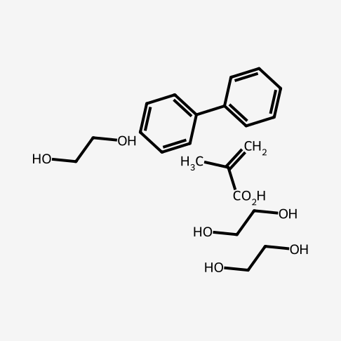 C=C(C)C(=O)O.OCCO.OCCO.OCCO.c1ccc(-c2ccccc2)cc1